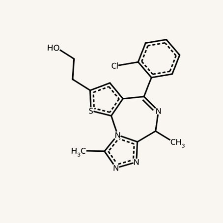 Cc1nnc2n1-c1sc(CCO)cc1C(c1ccccc1Cl)=NC2C